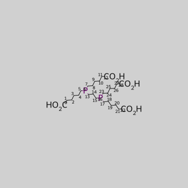 O=C(O)CCCCCP(CCCCCC(=O)O)CCCP(CCCCCC(=O)O)CCCCCC(=O)O